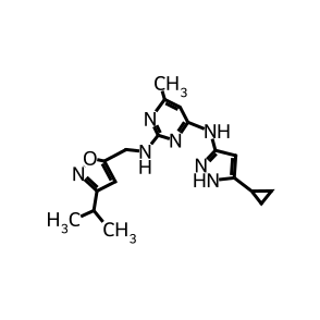 Cc1cc(Nc2cc(C3CC3)[nH]n2)nc(NCc2cc(C(C)C)no2)n1